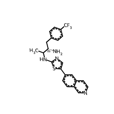 CC(Nc1ncc(-c2ccc3cnccc3c2)s1)[C@@H](N)Cc1ccc(C(F)(F)F)cc1